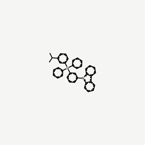 CC(C)c1cccc([Si](c2ccccc2)(c2ccccc2)c2cccc(-n3c4ccccc4c4ccccc43)c2)c1